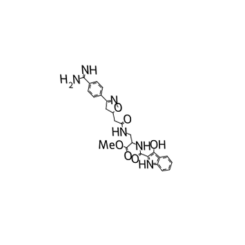 COC(=O)C(CNC(=O)CC1CC(c2ccc(C(=N)N)cc2)=NO1)NC(=O)c1[nH]c2ccccc2c1O